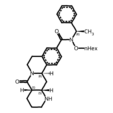 CCCCCCON(C(=O)c1ccc2c(c1)CCN1C(=O)[C@H]3CCCN[C@H]3C[C@H]21)[C@H](C)c1ccccc1